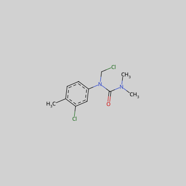 Cc1ccc(N(CCl)C(=O)N(C)C)cc1Cl